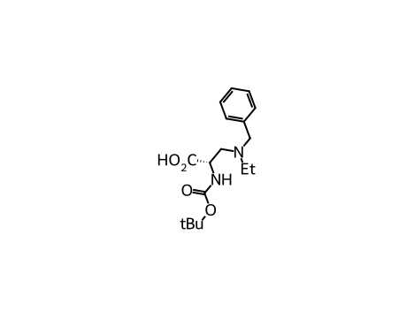 CCN(Cc1ccccc1)C[C@H](NC(=O)OC(C)(C)C)C(=O)O